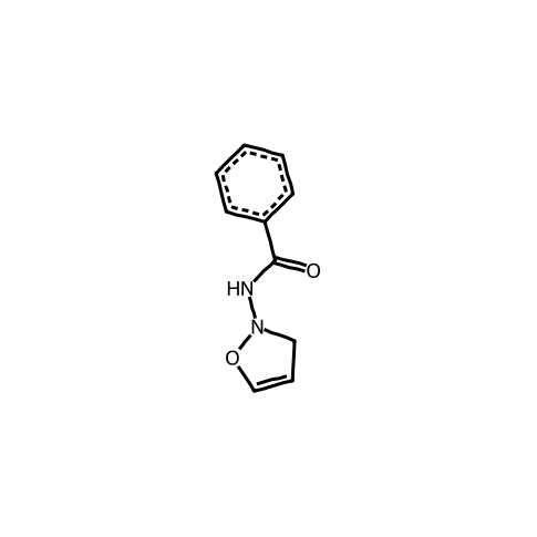 O=C(NN1CC=CO1)c1ccccc1